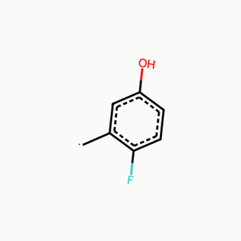 [CH2]c1cc(O)ccc1F